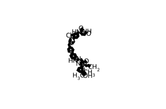 C=CCn1c(=O)c2cnc(Nc3ccc(N4CCC(CN5CCN(c6ccc(NC7CCC(=O)NC7=O)cc6Cl)CC5)CC4)cc3)nc2n1-c1cccc(C(C)(C)O)n1